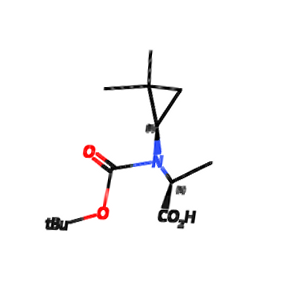 C[C@@H](C(=O)O)N(C(=O)OC(C)(C)C)[C@@H]1CC1(C)C